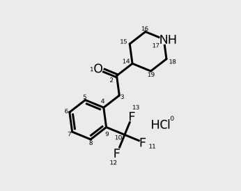 Cl.O=C(Cc1ccccc1C(F)(F)F)C1CCNCC1